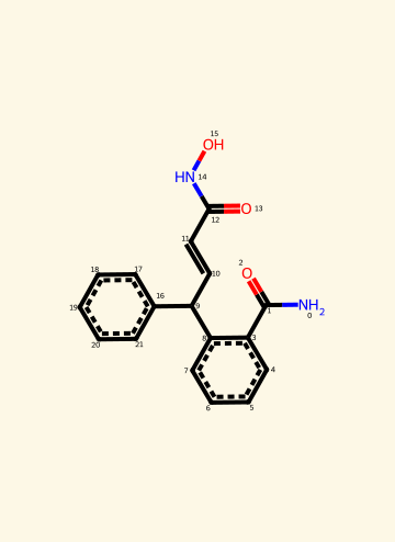 NC(=O)c1ccccc1C(C=CC(=O)NO)c1ccccc1